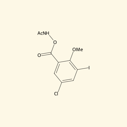 COc1c(I)cc(Cl)cc1C(=O)ONC(C)=O